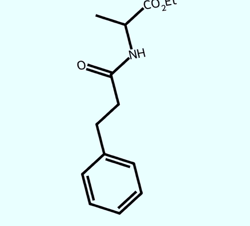 CCOC(=O)C(C)NC(=O)CCc1ccccc1